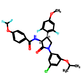 COc1cc(F)c([C@@H]2CN(c3cc(Cl)cc(OC(C)C)c3)C(=O)[C@H]2NC(=O)c2ccc(OC(F)F)cc2)c(F)c1